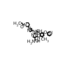 C=CC(=O)N1CCC[C@@H](n2cc(Nc3ncc(C(N)=O)c(Nc4c(C)cc(Oc5cccnc5)cc4OC)n3)cn2)C1